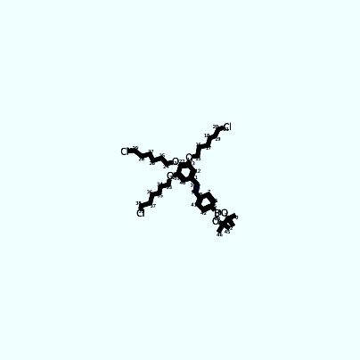 CC1(C)OB(c2ccc(/C=C/c3cc(OCCCCCCCl)c(OCCCCCCCl)c(OCCCCCCCl)c3)cc2)OC1(C)C